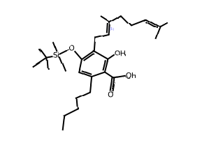 CCCCCc1cc(O[Si](C)(C)C(C)(C)C)c(C/C=C(\C)CCC=C(C)C)c(O)c1C(=O)O